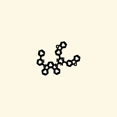 c1ccc(-c2cccc(-n3c4ccccc4c4c5c6ccccc6n(-c6nc(-c7ccc8oc9ccccc9c8c7)nc(-c7ccc8oc9ccccc9c8c7)n6)c5ccc43)n2)cc1